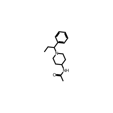 CCC(c1ccccc1)N1CCC(NC(C)=O)CC1